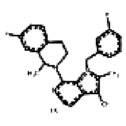 Cc1c(C)n(Cc2cccc(F)c2)c2c(N3CCc4ccc(F)cc4C3C)nccc12.Cl